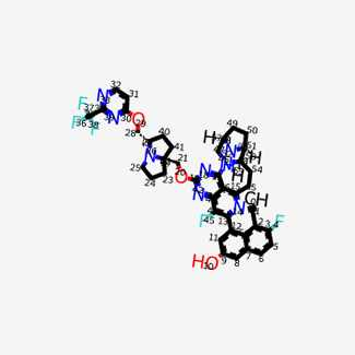 C#Cc1c(F)ccc2cc(O)cc(-c3nc4c5c(nc(OC[C@@]67CCCN6[C@H](COc6ccnc(C(F)(F)F)n6)CC7)nc5c3F)N3C[C@H]5CC[C@H](N5)[C@H]3CC4)c12